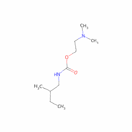 CCC(C)CNC(=O)OCCN(C)C